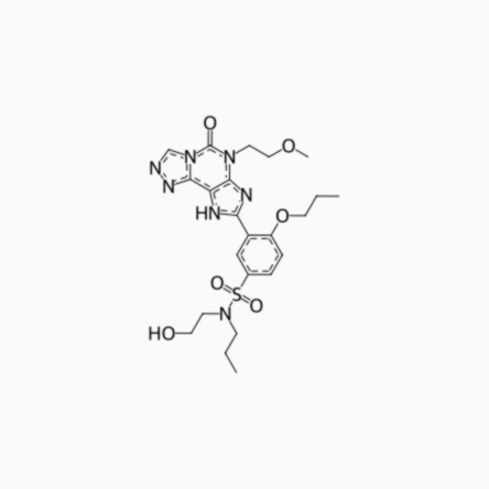 CCCOc1ccc(S(=O)(=O)N(CCC)CCO)cc1-c1nc2c([nH]1)c1nncn1c(=O)n2CCOC